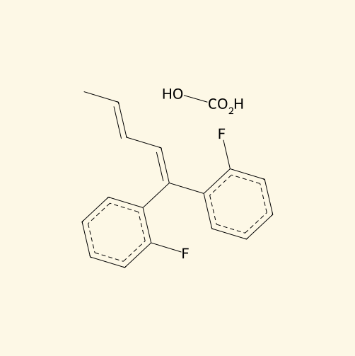 C/C=C/C=C(c1ccccc1F)c1ccccc1F.O=C(O)O